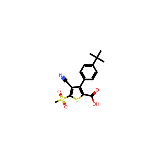 CC(C)(C)c1ccc(-c2c(C(=O)O)sc(S(C)(=O)=O)c2C#N)cc1